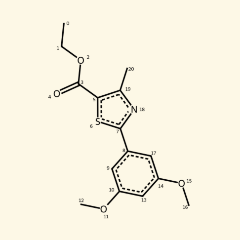 CCOC(=O)c1sc(-c2cc(OC)cc(OC)c2)nc1C